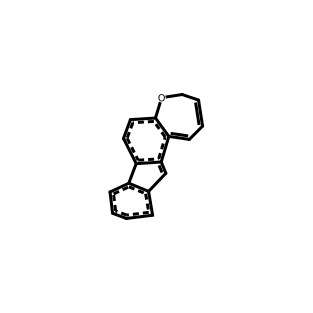 C1=CCOc2ccc3c(c2=C1)=Cc1ccccc1-3